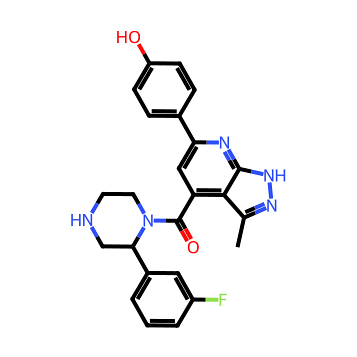 Cc1n[nH]c2nc(-c3ccc(O)cc3)cc(C(=O)N3CCNCC3c3cccc(F)c3)c12